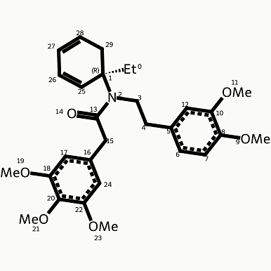 CC[C@]1(N(CCc2ccc(OC)c(OC)c2)C(=O)Cc2cc(OC)c(OC)c(OC)c2)C=CC=CC1